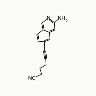 N#CCCCC#Cc1ccc2cnc(N)cc2c1